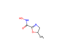 CC1CN=C(C(=O)NO)O1